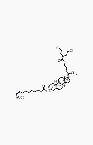 CCCCCCCC/C=C\CCCCCCCC(=O)O[C@H]1CC[C@@]2(C)C(=CC[C@H]3[C@@H]4CC[C@H](C(C)CCCOC(=O)N(CCCl)CCCl)[C@@]4(C)CC[C@@H]32)C1